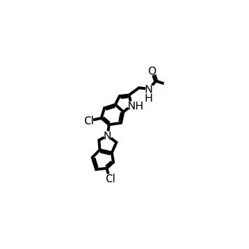 CC(=O)NCc1cc2cc(Cl)c(N3Cc4ccc(Cl)cc4C3)cc2[nH]1